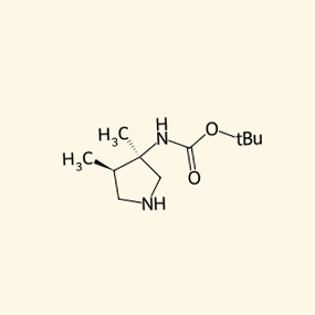 C[C@@H]1CNC[C@]1(C)NC(=O)OC(C)(C)C